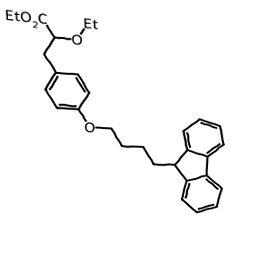 CCOC(=O)C(Cc1ccc(OCCCCC2c3ccccc3-c3ccccc32)cc1)OCC